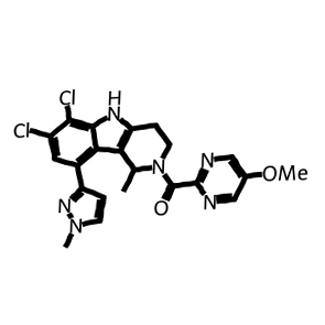 COc1cnc(C(=O)N2CCc3[nH]c4c(Cl)c(Cl)cc(-c5ccn(C)n5)c4c3C2C)nc1